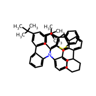 CC(C)(C)c1cc(-c2ccccc2N(c2ccccc2-c2cccc3cccc(C4CCCCC4)c23)c2cccc3c2sc2ccccc23)cc(C(C)(C)C)c1